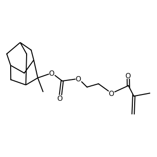 C=C(C)C(=O)OCCOC(=O)OC1(C)C2CC3CC(C2)CC1C3